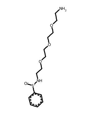 NCCOCCOCCOCCN[S+]([O-])c1ccccc1